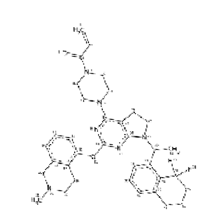 C=CC(=O)N1CCN(c2nc(Oc3cccc4c3CCN(C)C4)nc3c2CCN3C(C)c2cccc3c2C(F)(F)CCC3)CC1